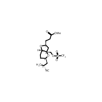 [C-]#[N+][C@H](C)C[C@H]1CC[C@@H]2O[C@@H](CCC(=O)OC)C[C@]2(COS(=O)(=O)C(F)(F)F)O1